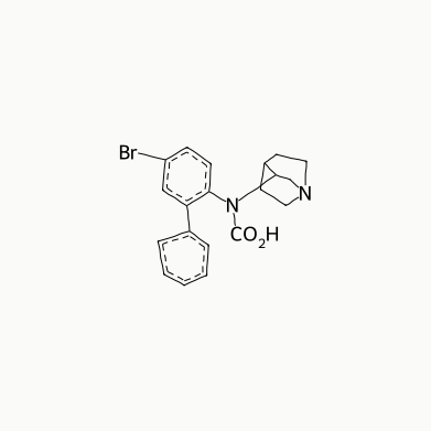 O=C(O)N(c1ccc(Br)cc1-c1ccccc1)C1CN2CCC1CC2